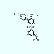 COc1ccc(S(=O)(=O)c2cccc(OC(F)F)c2)cc1N1CCN(C)CC1